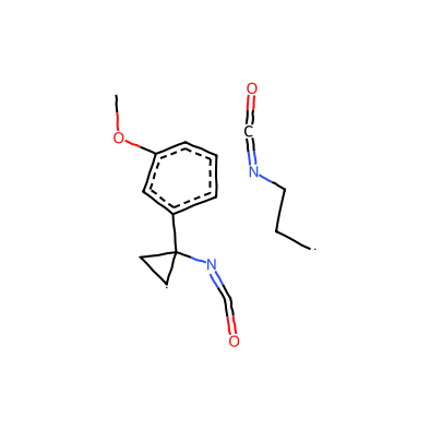 COc1cccc(C2(N=C=O)[CH]C2)c1.[CH2]CCN=C=O